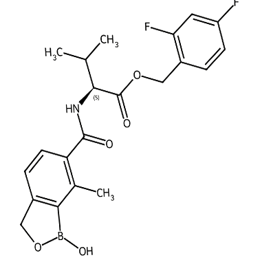 Cc1c(C(=O)N[C@H](C(=O)OCc2ccc(F)cc2F)C(C)C)ccc2c1B(O)OC2